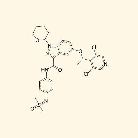 CC(Oc1ccc2c(c1)c(C(=O)Nc1ccc(N=S(C)(C)=O)cc1)nn2C1CCCCO1)c1c(Cl)cncc1Cl